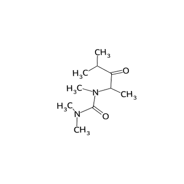 CC(C)C(=O)C(C)N(C)C(=O)N(C)C